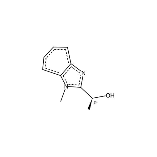 C[C@H](O)c1nc2ccccc2n1C